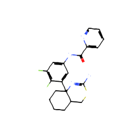 NC1=NC2(c3cc(NC(=O)c4ccccn4)cc(F)c3F)CCCCC2CS1